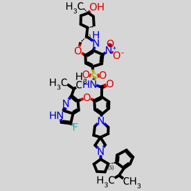 CC(C)c1ccccc1[C@@H]1CCCC1N1CC2(CCN(c3ccc(C(=O)NS(=O)(=O)c4cc5c(c([N+](=O)[O-])c4)N[C@@H]([C@H]4CC[C@](C)(O)CC4)CO5)c(Oc4cc5c(F)c[nH]c5nc4C(C)C)c3)CC2)C1